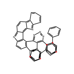 c1ccc(-c2ccccc2-c2nnnc(-c3c(-c4ccccc4)ccc4c3-c3c5c(ccc3=N4)=c3ccccc3=N5)c2-c2ccccc2-c2ccccc2)cc1